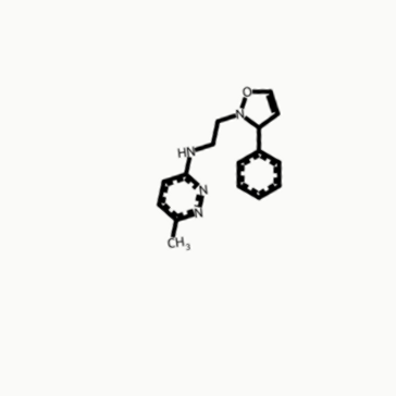 Cc1ccc(NCCN2OC=CC2c2ccccc2)nn1